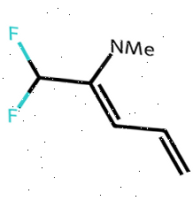 C=C/C=C(\NC)C(F)F